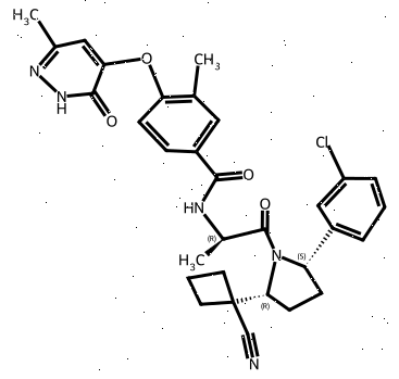 Cc1cc(Oc2ccc(C(=O)N[C@H](C)C(=O)N3[C@H](c4cccc(Cl)c4)CC[C@@H]3C3(C#N)CCC3)cc2C)c(=O)[nH]n1